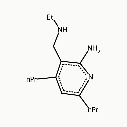 CCCc1cc(CCC)c(CNCC)c(N)n1